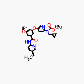 C/C=C1\C=CC(NC(=O)c2cc(Oc3ccc(N(CC4CC4)C(=O)OC(C)(C)C)nc3)cc(OC(C)C)c2)=NC1